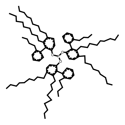 CCCCCCCCCc1ccc(OP(Oc2ccc(CCCCCCCCC)c(CCCCCCCCC)c2-c2ccccc2CCCC)Oc2ccc(CCCCCCCCC)c(CCCCCCCCC)c2-c2ccccc2CCCC)c(-c2ccccc2CCCC)c1CCCCCCCCC